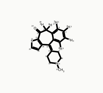 [2H]c1c([2H])c([2H])c2c(c1[2H])C(=C1CCN(C)CC1)c1ccsc1C(=O)C2([2H])[2H]